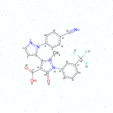 Cn1c(-c2ccnn2-c2ccc(C#N)cc2)c(C(=O)O)c(=O)n1-c1cccc(C(F)(F)F)c1